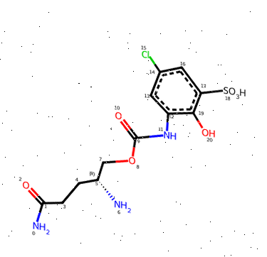 NC(=O)CC[C@@H](N)COC(=O)Nc1cc(Cl)cc(S(=O)(=O)O)c1O